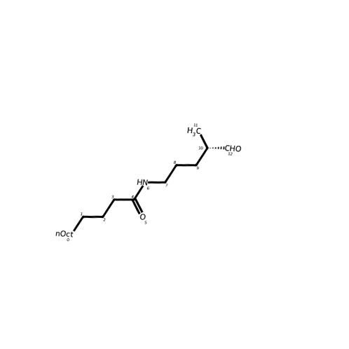 CCCCCCCCCCCC(=O)NCCC[C@H](C)C=O